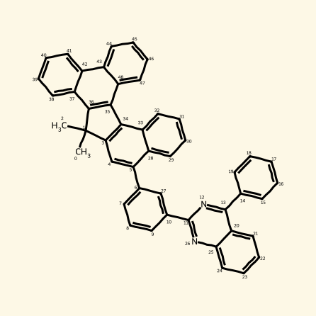 CC1(C)c2cc(-c3cccc(-c4nc(-c5ccccc5)c5ccccc5n4)c3)c3ccccc3c2-c2c1c1ccccc1c1ccccc21